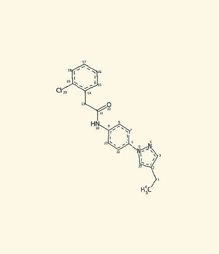 CCc1cnn(-c2ccc(NC(=O)Cc3ccccc3Cl)cc2)c1